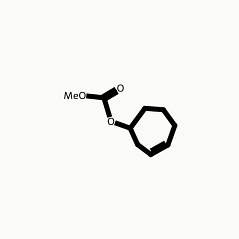 COC(=O)OC1CC=CCCC1